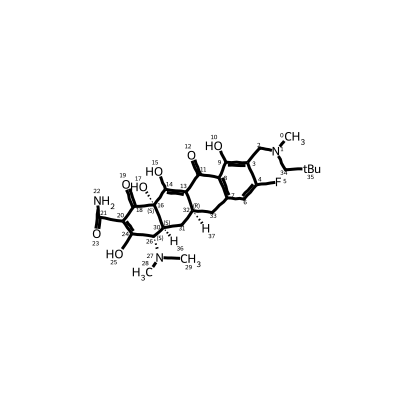 CN(Cc1c(F)cc2c(c1O)C(=O)C1=C(O)[C@]3(O)C(=O)C(C(N)=O)=C(O)[C@@H](N(C)C)[C@@H]3C[C@@H]1C2)CC(C)(C)C